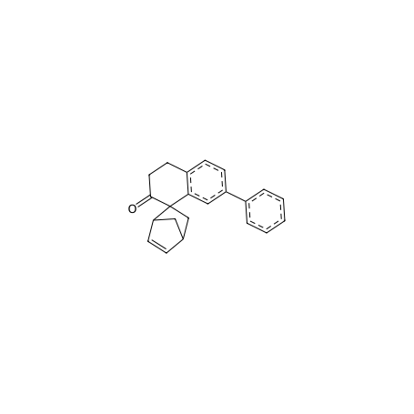 O=C1CCc2ccc(-c3ccccc3)cc2C12CC1C=CC2C1